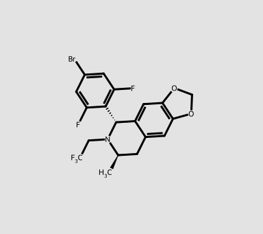 C[C@@H]1Cc2cc3c(cc2[C@@H](c2c(F)cc(Br)cc2F)N1CC(F)(F)F)OCO3